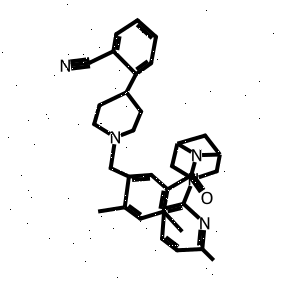 Cc1cccc(N2CC3CC(C2)N3C(=O)c2cc(CN3CCC(c4ccccc4C#N)CC3)c(C)cc2C)n1